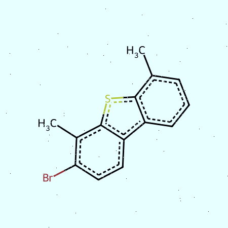 Cc1cccc2c1sc1c(C)c(Br)ccc12